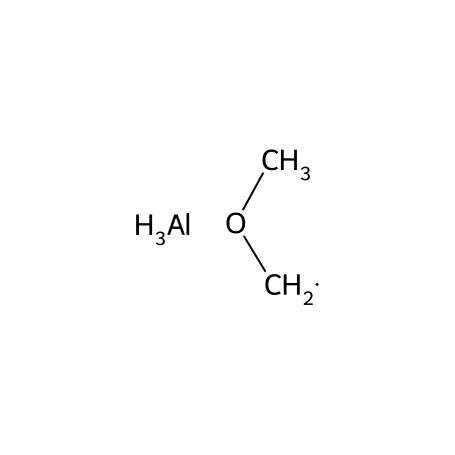 [AlH3].[CH2]OC